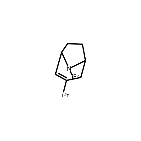 CC(C)C1=CC2CCC(C1)N2C(C)C